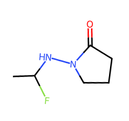 CC(F)NN1CCCC1=O